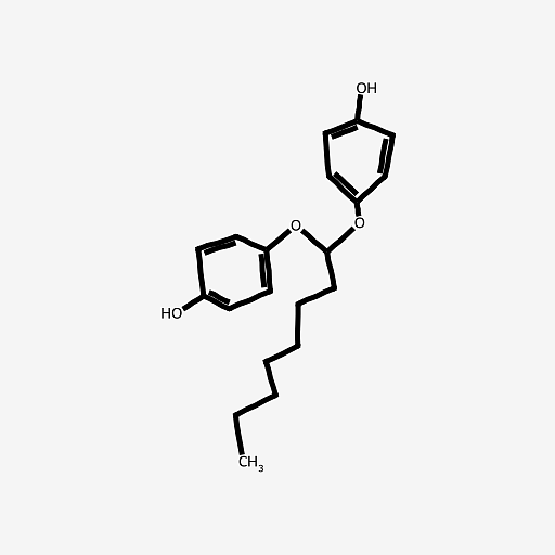 CCCCCCCC(Oc1ccc(O)cc1)Oc1ccc(O)cc1